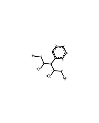 CC(CO)C(c1ccccc1)C(C)CO